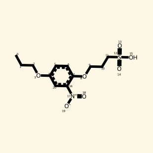 CCCOc1ccc(OCCCS(=O)(=O)O)c([N+](=O)[O-])c1